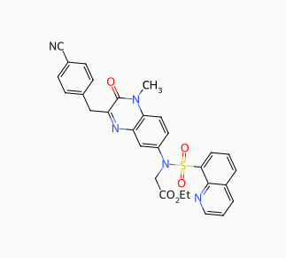 CCOC(=O)CN(c1ccc2c(c1)nc(Cc1ccc(C#N)cc1)c(=O)n2C)S(=O)(=O)c1cccc2cccnc12